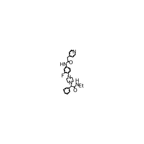 CCNC(=O)C(c1ccccc1)N1CCN(c2ccc(NC(=O)Cc3ccncc3)cc2F)CC1